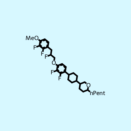 CCCCCC1CCC(C2CCC(c3ccc(OCC(F)Cc4ccc(OC)c(F)c4F)c(F)c3F)CC2)CO1